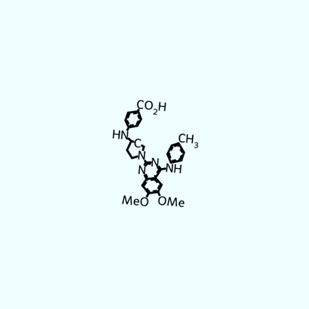 COc1cc2nc(N3CCC(Nc4ccc(C(=O)O)cc4)CC3)nc(Nc3ccc(C)cc3)c2cc1OC